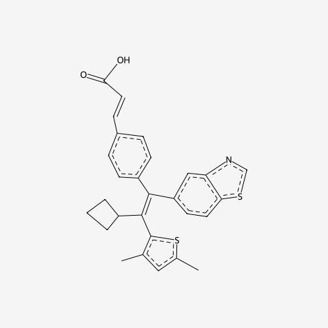 Cc1cc(C)c(C(=C(c2ccc(C=CC(=O)O)cc2)c2ccc3scnc3c2)C2CCC2)s1